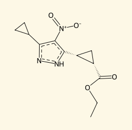 CCOC(=O)[C@H]1C[C@H]1c1[nH]nc(C2CC2)c1[N+](=O)[O-]